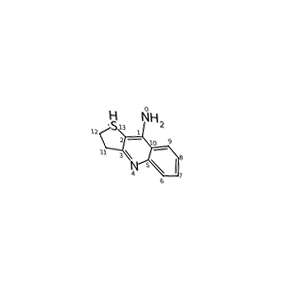 Nc1c2c(nc3ccccc13)CC[SH]2